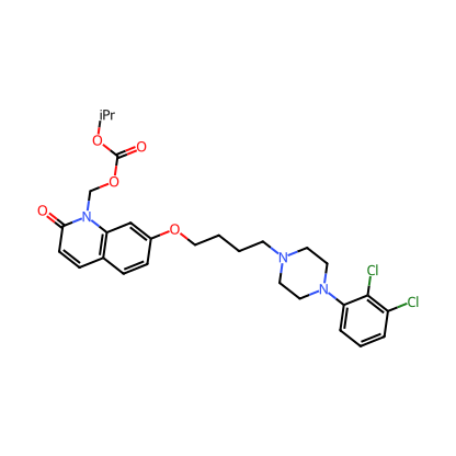 CC(C)OC(=O)OCn1c(=O)ccc2ccc(OCCCCN3CCN(c4cccc(Cl)c4Cl)CC3)cc21